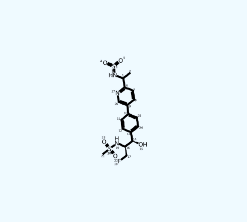 CC(N[SH](=O)=O)c1ccc(-c2ccc([C@@H](O)[C@@H](CF)NS(C)(=O)=O)cc2)cn1